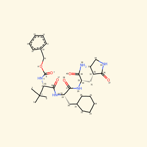 CC(C)(C)[C@H](NC(=O)OCc1ccccc1)C(=O)N[C@@H](CC1CCCCC1)C(=O)N[C@@H](C[C@@H]1CCNC1=O)C(N)=O